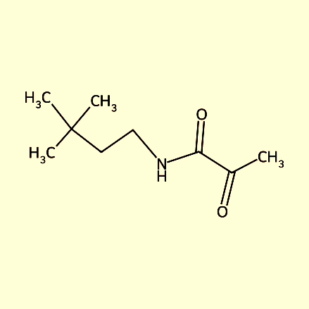 CC(=O)C(=O)NCCC(C)(C)C